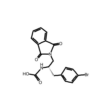 O=C(O)N[C@@H](Cc1ccc(Br)cc1)CN1C(=O)c2ccccc2C1=O